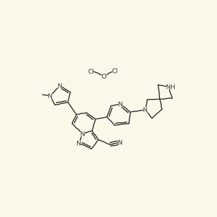 ClOCl.Cn1cc(-c2cc(-c3ccc(N4CCC5(CNC5)C4)nc3)c3c(C#N)cnn3c2)cn1